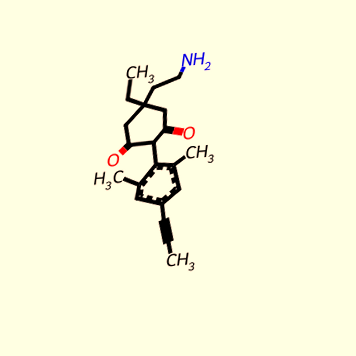 CC#Cc1cc(C)c(C2C(=O)CC(CC)(CCN)CC2=O)c(C)c1